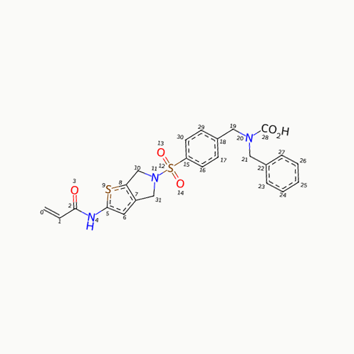 C=CC(=O)Nc1cc2c(s1)CN(S(=O)(=O)c1ccc(CN(Cc3ccccc3)C(=O)O)cc1)C2